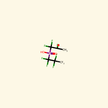 CC(F)(F)C(F)(F)P(=O)(O)C(F)(F)C(F)(F)C(F)(F)F